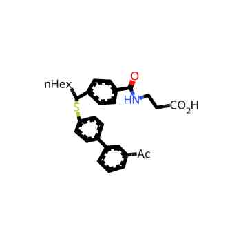 CCCCCCC(Sc1ccc(-c2cccc(C(C)=O)c2)cc1)c1ccc(C(=O)NCCC(=O)O)cc1